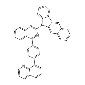 c1ccc2cc3c(cc2c1)c1ccccc1n3-c1nc(-c2ccc(-c3cccc4cccnc34)cc2)c2ccccc2n1